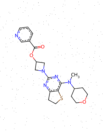 CN(c1nc(N2CC(OC(=O)c3cccnc3)C2)nc2c1SCC2)C1CCOCC1